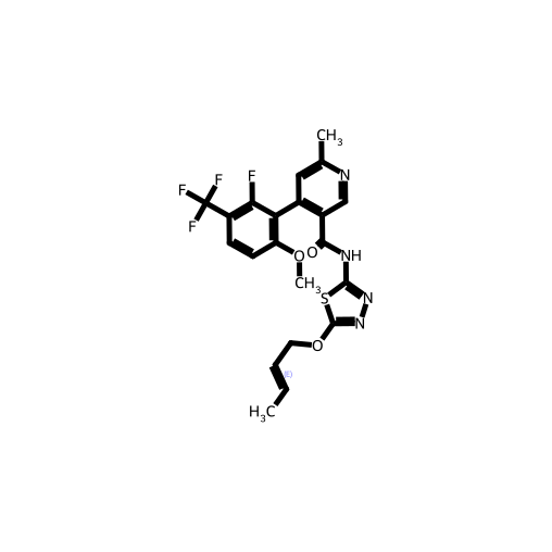 C/C=C/COc1nnc(NC(=O)c2cnc(C)cc2-c2c(OC)ccc(C(F)(F)F)c2F)s1